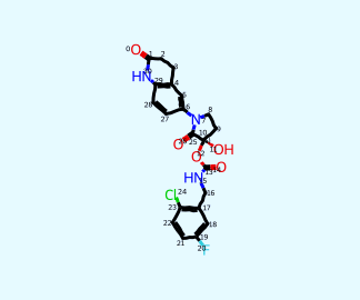 O=C1CCc2cc(N3CC[C@](O)(OC(=O)NCc4cc(F)ccc4Cl)C3=O)ccc2N1